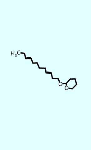 CCC=CCCCCC=CCCOC1CCCCO1